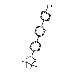 CC1(C)OB(c2ccc(-c3ccc(-c4ccc(O)cc4)cc3)cc2)OC1(C)C